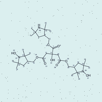 CC1(C)CC(COC(=O)C(O)(CC(=O)OCC2CC(C)(C)N(O)C2(C)C)CC(=O)OCC2CC(C)(C)N(O)C2(C)C)C(C)(C)N1